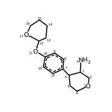 NC1COCCC1c1ccc(OC2CCCCO2)cc1